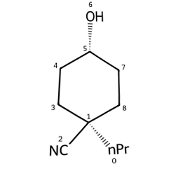 CCC[C@]1(C#N)CC[C@H](O)CC1